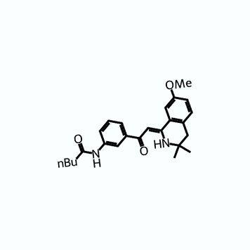 CCCCC(=O)Nc1cccc(C(=O)C=C2NC(C)(C)Cc3ccc(OC)cc32)c1